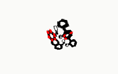 c1ccc2c(c1)C1c3cccc(-p4oc5ccccc5c5ccccc5o4)c3C2c2c1cccc2-p1oc2ccccc2c2ccccc2o1